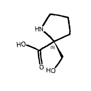 O=C(O)[C@@]1(CO)CCCN1